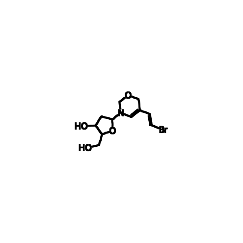 OCC1OC(N2C=C(/C=C/Br)COC2)CC1O